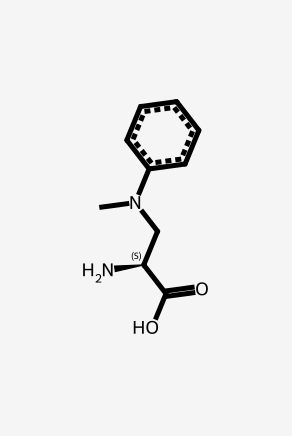 CN(C[C@H](N)C(=O)O)c1ccccc1